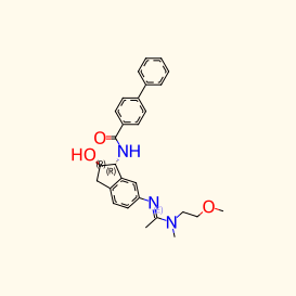 COCCN(C)/C(C)=N/c1ccc2c(c1)[C@@H](NC(=O)c1ccc(-c3ccccc3)cc1)[C@H](O)C2